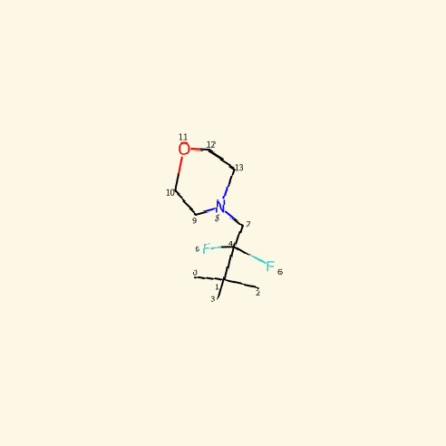 CC(C)(C)C(F)(F)CN1CCOCC1